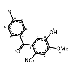 COc1cc(C#N)c(C(=O)c2ccc(C)cc2)cc1O